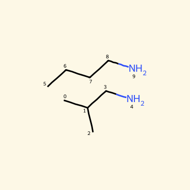 CC(C)CN.CCCCN